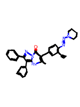 C#Cc1cc(-c2c(C)[nH]c3c(-c4ccccc4)c(-c4ccccc4)nn3c2=O)ccc1/N=N/N1CCCCC1